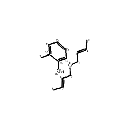 C/C=C/COC/C=C/C.Cc1ccccc1O